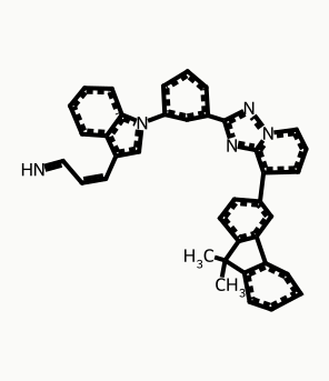 CC1(C)c2ccccc2-c2cc(-c3cccn4nc(-c5cccc(-n6cc(/C=C\C=N)c7ccccc76)c5)nc34)ccc21